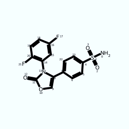 NS(=O)(=O)c1ccc(-c2coc(=O)n2-c2cc(F)ccc2F)cc1